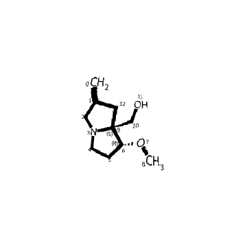 C=C1CN2CC[C@@H](OC)[C@@]2(CO)C1